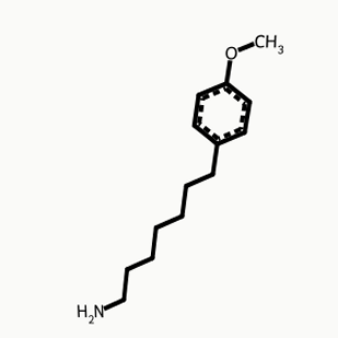 COc1ccc(CCCCCCCN)cc1